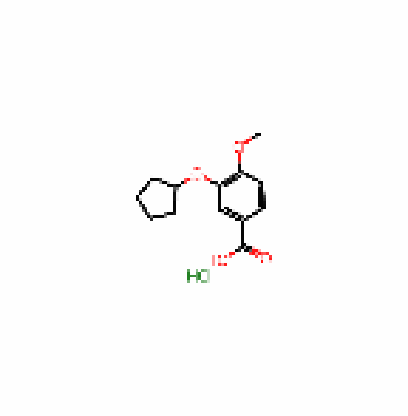 COc1ccc(C(=O)O)cc1OC1CCCC1.Cl